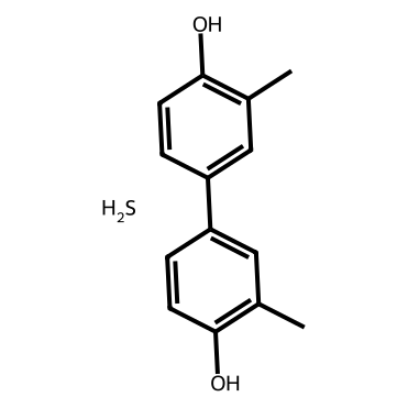 Cc1cc(-c2ccc(O)c(C)c2)ccc1O.S